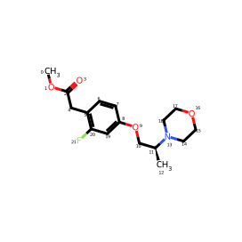 COC(=O)Cc1ccc(OC[C@H](C)N2CCOCC2)cc1F